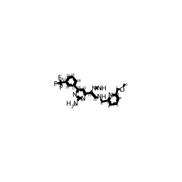 COCc1cccc(CN/C=C(\N=N)c2cc(-c3cccc(C(F)(F)F)c3)nc(N)n2)n1